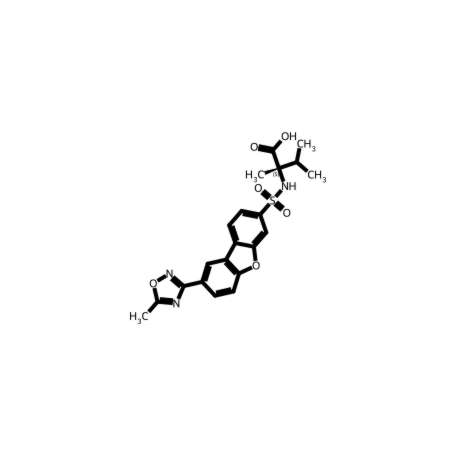 Cc1nc(-c2ccc3oc4cc(S(=O)(=O)N[C@](C)(C(=O)O)C(C)C)ccc4c3c2)no1